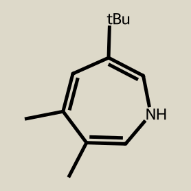 CC1=CNC=C(C(C)(C)C)C=C1C